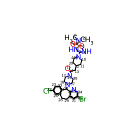 CN(C)S(=O)(=O)NC(=N)N1CCC(CC(=O)N2CCN(C3c4ccc(Cl)cc4CCc4cc(Br)cnc43)CC2)CC1